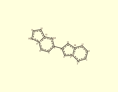 c1cnn2cc(-c3ccn4nccc4n3)cc2c1